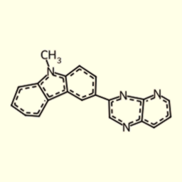 Cn1c2ccccc2c2cc(-c3cnc4cccnc4n3)ccc21